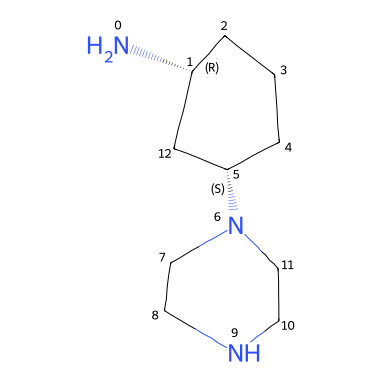 N[C@@H]1CCC[C@H](N2CCNCC2)C1